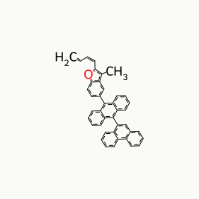 C=C/C=C\c1oc2ccc(-c3c4ccccc4c(-c4cc5ccccc5c5ccccc45)c4ccccc34)cc2c1C